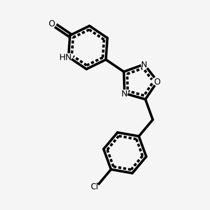 O=c1ccc(-c2noc(Cc3ccc(Cl)cc3)n2)c[nH]1